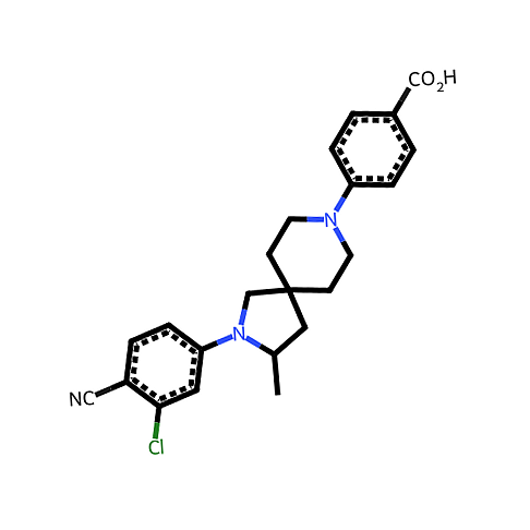 CC1CC2(CCN(c3ccc(C(=O)O)cc3)CC2)CN1c1ccc(C#N)c(Cl)c1